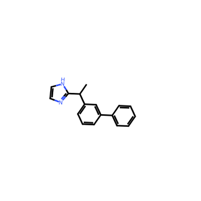 CC(c1cccc(-c2ccccc2)c1)c1ncc[nH]1